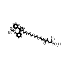 CCC(=O)N1Cc2ccccc2-c2c(nnn2CCOCCOCCOCCNC(=O)CC[C@H](C)C(=O)O)-c2ccccc21